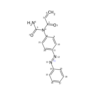 C=CC(=O)N(C(N)=O)c1ccc(/N=N/c2ccccc2)cc1